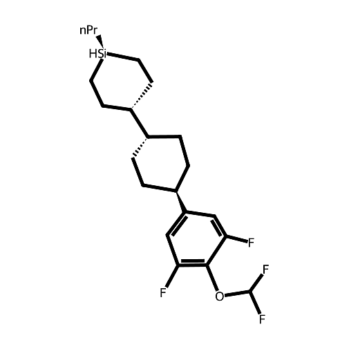 CCC[Si@H]1CC[C@H]([C@H]2CC[C@H](c3cc(F)c(OC(F)F)c(F)c3)CC2)CC1